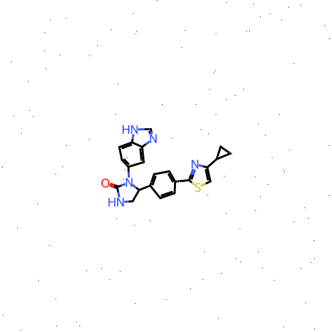 O=C1NCC(c2ccc(-c3nc(C4CC4)cs3)cc2)N1c1ccc2[nH]cnc2c1